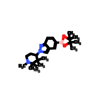 CN1CCC(n2cc3cc(B4OC(C)(C)C(C)(C)O4)ccc3n2)C(C)(C)C1(C)C